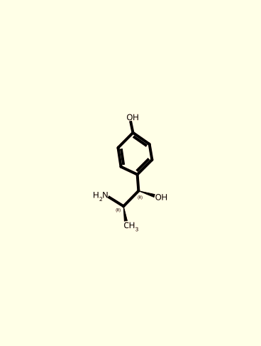 C[C@@H](N)[C@H](O)c1ccc(O)cc1